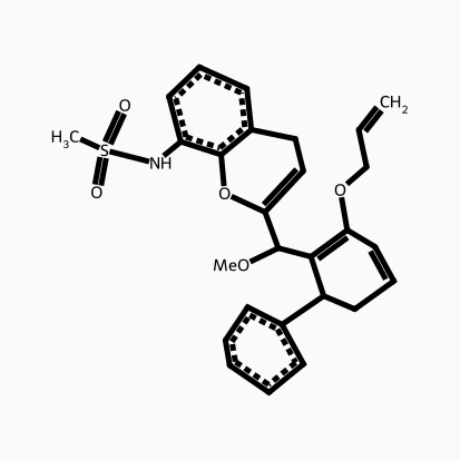 C=CCOC1=C(C(OC)C2=CCc3cccc(NS(C)(=O)=O)c3O2)C(c2ccccc2)CC=C1